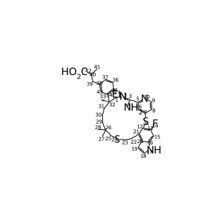 CCC1/N=C(\N)c2cc(ccn2)Sc2c(F)cc3[nH]ccc3c2CCSCC(C)(C)CCC[C@]1(C)c1cccc(CC(C)C(=O)O)c1